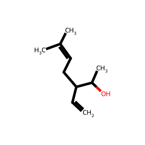 C=CC(CC=C(C)C)C(C)O